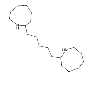 C1CCCC(CCOCCC2CCCCCCN2)NCC1